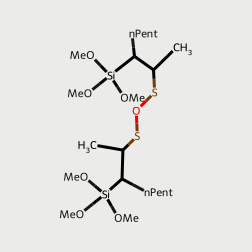 CCCCCC(C(C)SOSC(C)C(CCCCC)[Si](OC)(OC)OC)[Si](OC)(OC)OC